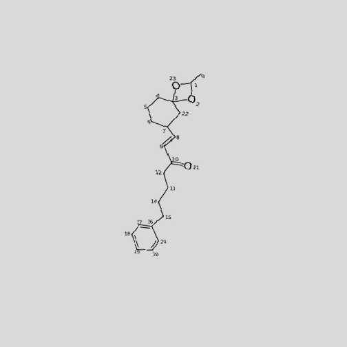 CC1OC2(CCCC(/C=C/C(=O)CCCCc3ccccc3)C2)O1